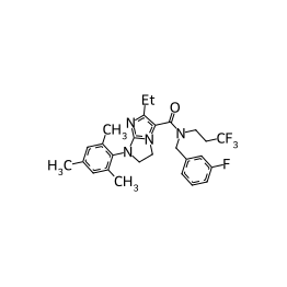 CCc1nc2n(c1C(=O)N(CCC(F)(F)F)Cc1cccc(F)c1)CCN2c1c(C)cc(C)cc1C